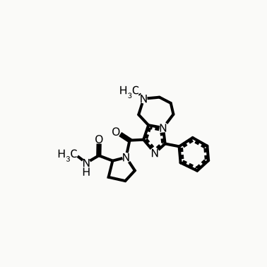 CNC(=O)C1CCCN1C(=O)c1nc(-c2ccccc2)n2c1CN(C)CCC2